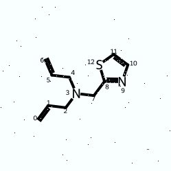 C=CCN(CC=C)Cc1nccs1